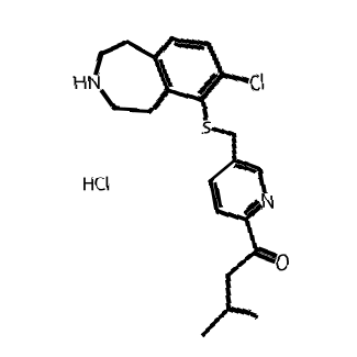 CC(C)CC(=O)c1ccc(CSc2c(Cl)ccc3c2CCNCC3)cn1.Cl